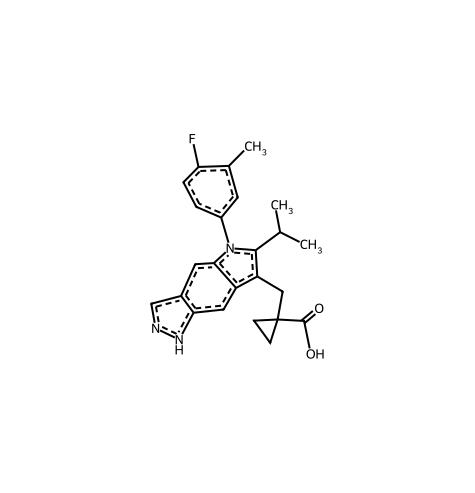 Cc1cc(-n2c(C(C)C)c(CC3(C(=O)O)CC3)c3cc4[nH]ncc4cc32)ccc1F